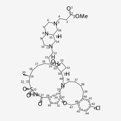 COC(=O)CCN1CCN2CCN(CC[C@@]3(O)CCC[C@H](C)[C@@H](C)S(=O)(=O)NC(=O)c4ccc5c(c4)N(CCCCc4cc(Cl)ccc4CO5)C[C@@H]4CC[C@@H]43)C[C@@H]2C1